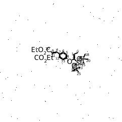 CC=C(Oc1ccc(C=C(C(=O)OCC)C(=O)OCC)cc1)[Si](C)(O[Si](C)(C)C)O[Si](C)(C)C